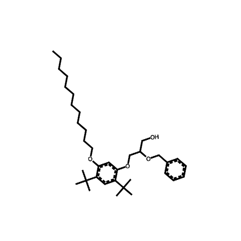 CCCCCCCCCCCCOc1cc(OCC(CO)OCc2ccccc2)c(C(C)(C)C)cc1C(C)(C)C